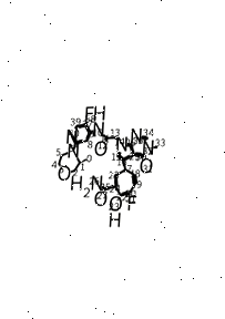 C[C@H]1COCCN1c1cc(NC(=O)Cn2cc(C3C#CC(F)=C(O)C(C(N)=O)=C3)c3c(=O)n(C)cnc32)c(F)cn1